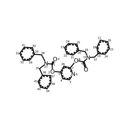 O=C(Oc1ccnc(OC(=O)N(Cc2ccccc2)Cc2ccccc2)c1)N(Cc1ccccc1)Cc1ccccc1